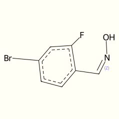 O/N=C\c1ccc(Br)cc1F